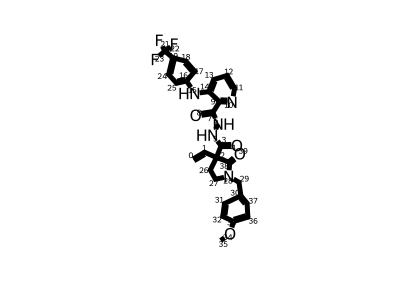 C=CC1(C(=O)NNC(=O)c2ncccc2Nc2ccc(C(F)(F)F)cc2)CCN(Cc2ccc(OC)cc2)C1=O